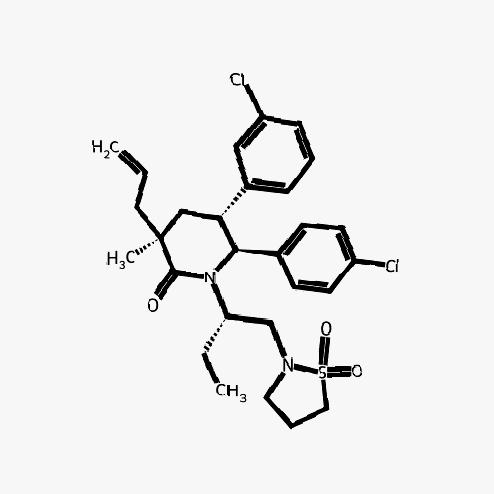 C=CC[C@@]1(C)C[C@H](c2cccc(Cl)c2)[C@@H](c2ccc(Cl)cc2)N([C@@H](CC)CN2CCCS2(=O)=O)C1=O